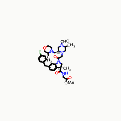 COC(=O)CNC(=O)[C@]1(C)CN(C(=O)CN2CC(C)N(C=O)C[C@@H]2CN2CCOCC2C)c2cc(Cc3ccc(F)cc3)ccc21